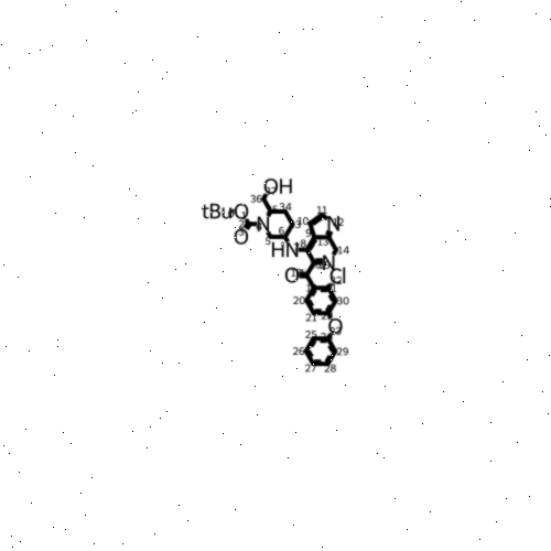 CC(C)(C)OC(=O)N1CC(NC2=C3C=CN=C3CN=C2C(=O)c2ccc(Oc3ccccc3)cc2Cl)CCC1CO